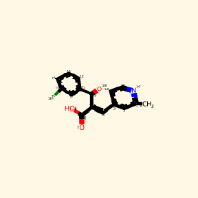 Cc1cc(/C=C(/C(=O)O)C(=O)c2cccc(F)c2)ccn1